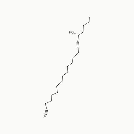 CCCC[C@@H](O)C#CCCCCCCCCCCCCC#N